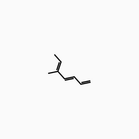 C=CC=CC(C)=CC